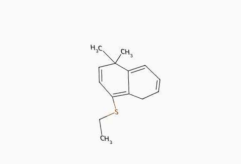 CCSC1=C2CC=CC=C2C(C)(C)C=C1